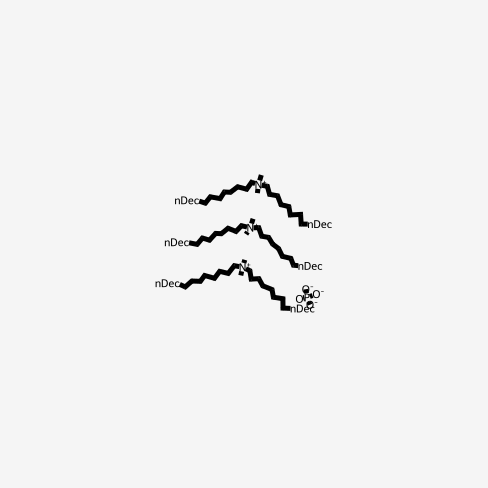 CCCCCCCCCCCCCCCCCC[N+](C)(C)CCCCCCCCCCCCCCCCCC.CCCCCCCCCCCCCCCCCC[N+](C)(C)CCCCCCCCCCCCCCCCCC.CCCCCCCCCCCCCCCCCC[N+](C)(C)CCCCCCCCCCCCCCCCCC.O=P([O-])([O-])[O-]